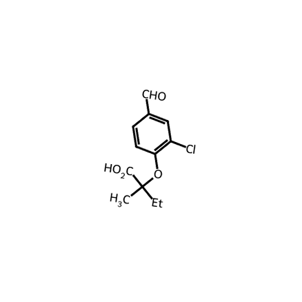 CCC(C)(Oc1ccc(C=O)cc1Cl)C(=O)O